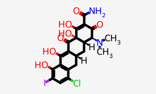 CN(C)[C@@H]1C(=O)C(C(N)=O)=C(O)[C@@]2(O)C(=O)C3=C(O)c4c(O)c(I)cc(Cl)c4C[C@H]3C[C@@H]12